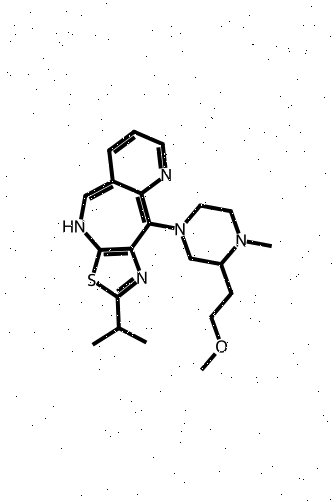 COCCC1CN(C2=c3ncccc3=CNc3sc(C(C)C)nc32)CCN1C